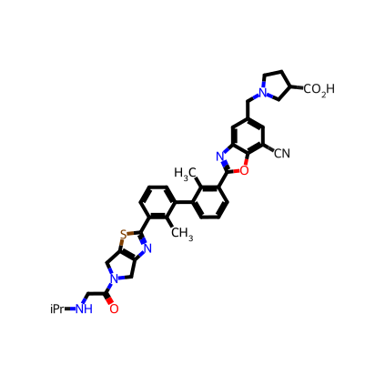 Cc1c(-c2nc3cc(CN4CCC(C(=O)O)C4)cc(C#N)c3o2)cccc1-c1cccc(-c2nc3c(s2)CN(C(=O)CNC(C)C)C3)c1C